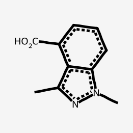 Cc1nn(C)c2cccc(C(=O)O)c12